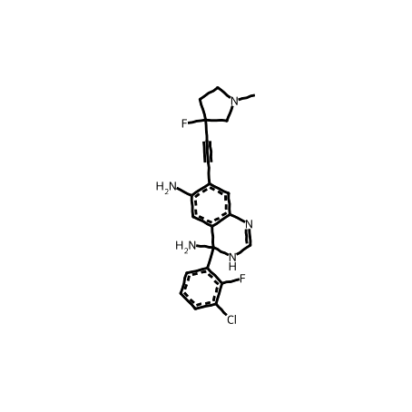 CN1CCC(F)(C#Cc2cc3c(cc2N)C(N)(c2cccc(Cl)c2F)NC=N3)C1